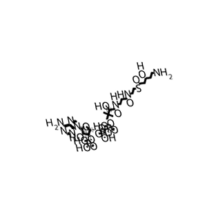 CC(C)(COP(=O)(O)OP(=O)(O)OC[C@H]1O[C@@H](n2cnc3c(N)ncnc32)[C@H](O)[C@@H]1OP(=O)(O)O)[C@@H](O)C(=O)NCCC(=O)NCCSC(=O)CC(O)CCN